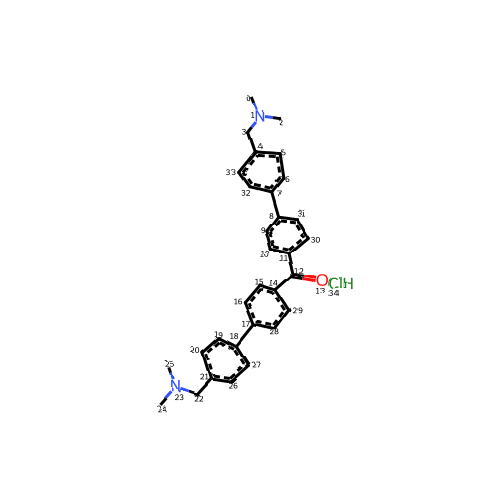 CN(C)Cc1ccc(-c2ccc(C(=O)c3ccc(-c4ccc(CN(C)C)cc4)cc3)cc2)cc1.Cl